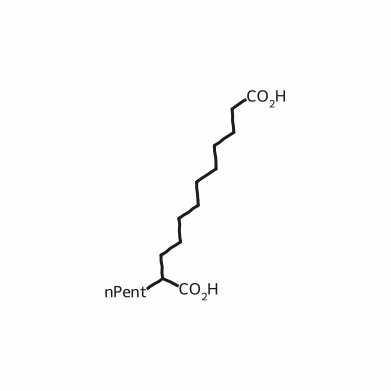 CCCCCC(CCCCCCCCCC(=O)O)C(=O)O